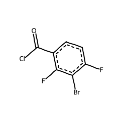 O=C(Cl)c1ccc(F)c(Br)c1F